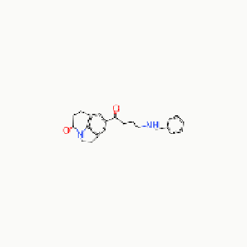 O=C(CCCNCc1ccccc1)c1cc2c3c(c1)CCN3C(=O)CC2